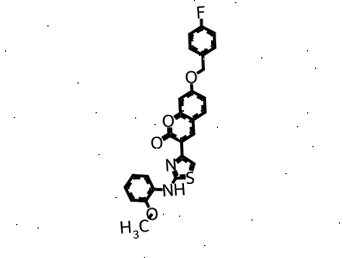 COc1ccccc1Nc1nc(-c2cc3ccc(OCc4ccc(F)cc4)cc3oc2=O)cs1